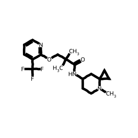 CN1CCC(NC(=O)C(C)(C)COc2ncccc2C(F)(F)F)CC12CC2